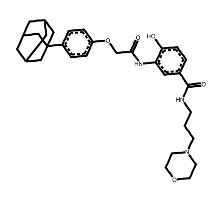 O=C(COc1ccc(C23CC4CC(CC(C4)C2)C3)cc1)Nc1cc(C(=O)NCCCN2CCOCC2)ccc1O